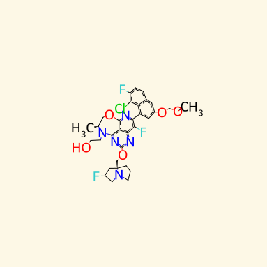 COCOc1cc(-c2nc3c4c(nc(OC[C@@]56CCCN5C[C@H](F)C6)nc4c2F)N(CCO)[C@@H](C)CO3)c2c(Cl)c(F)ccc2c1